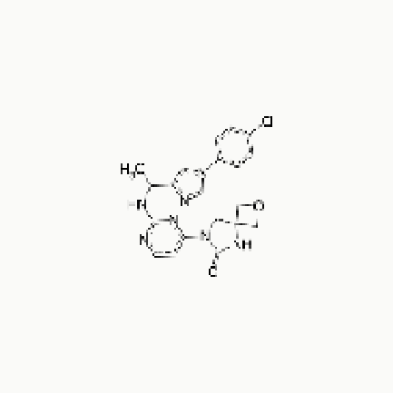 CC(Nc1nccc(N2CC3(COC3)NC2=O)n1)c1cn(-c2ccc(Cl)cc2)cn1